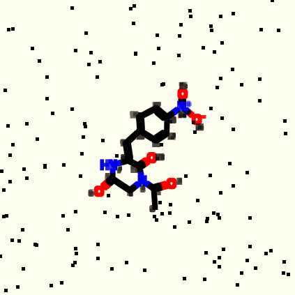 CC(=O)N1CC(=O)NC(=Cc2ccc([N+](=O)[O-])cc2)C1=O